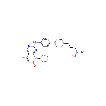 CC(=O)N(O)CCCC1CCN(c2ccc(Nc3ncc4c(C)cc(=O)n(C5CCCC5)c4n3)cc2)CC1